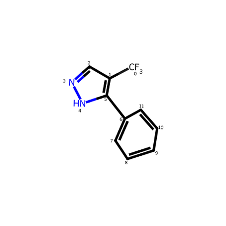 FC(F)(F)c1[c]n[nH]c1-c1ccccc1